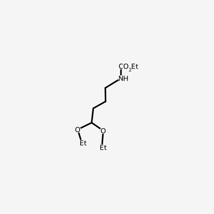 CCOC(=O)NCCCC(OCC)OCC